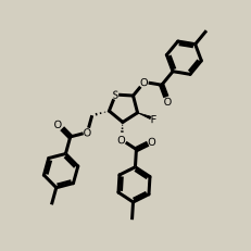 Cc1ccc(C(=O)OC[C@@H]2SC(OC(=O)c3ccc(C)cc3)[C@@H](F)[C@@H]2OC(=O)c2ccc(C)cc2)cc1